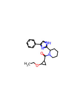 CCOC1CC1C(=O)N1CCCCC1c1nc(-c2ccccc2)c[nH]1